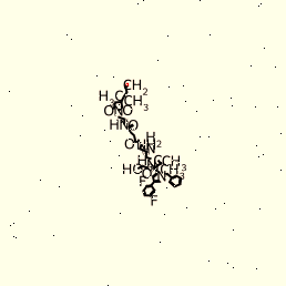 C=CCC(C)(C)C1CC(=O)N(CCNC(=O)CCC(=O)NC[C@@H](N)CCN(C(=O)CO)[C@@H](c2cc(-c3cc(F)ccc3F)cn2Cc2ccccc2)C(C)(C)C)C1=O